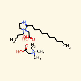 CCCCCCCCCCC1=NCC[N+]1(CC(=O)O)C(O)CC.C[N+](C)(C)CC(=O)O